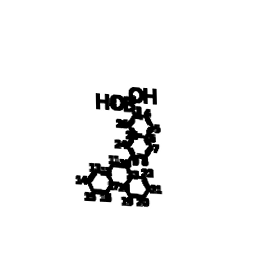 OB(O)c1ccc2ccc(C3=CC4C=CC=CC4C4C=CC=CC34)cc2c1